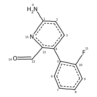 Nc1ccc(-c2ccccc2F)c(C=O)n1